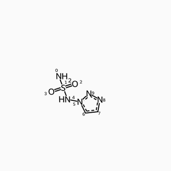 NS(=O)(=O)Nn1ccnn1